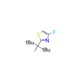 CC(C)(C)C(C)(c1nc(F)cs1)C(C)(C)C